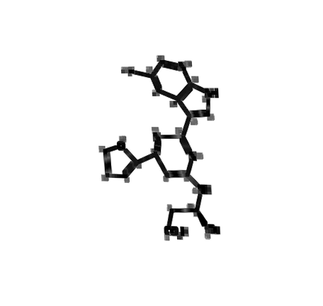 CC(C)(C)[C@@H](CC(=O)O)Nc1cc(-c2ccco2)nc(-c2c[nH]c3ncc(F)cc23)n1